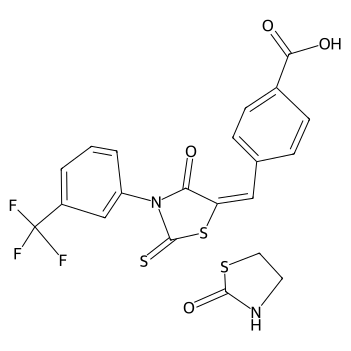 O=C(O)c1ccc(C=C2SC(=S)N(c3cccc(C(F)(F)F)c3)C2=O)cc1.O=C1NCCS1